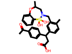 CC(=O)c1ccc(C(CC(=O)O)c2ccc(C)c(CN3CC(C)Oc4ccccc4S3(O)O)c2)cc1